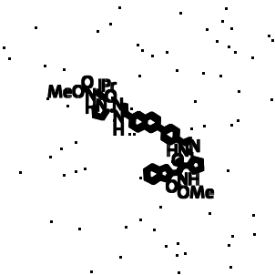 COC(=O)N[C@H](C(=O)N1CCC[C@H]1c1ncc(-c2ccc3cc(-c4ccc(-c5cnc([C@@H]6CCCC6C(=O)[C@@H](NC(=O)OC)C6Cc7ccccc7C6)[nH]5)cc4)ccc3c2)[nH]1)C(C)C